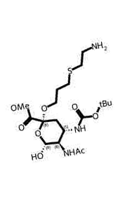 COC(=O)[C@@]1(OCCCSCCN)C[C@H](NC(=O)OC(C)(C)C)[C@@H](NC(C)=O)[C@H](O)O1